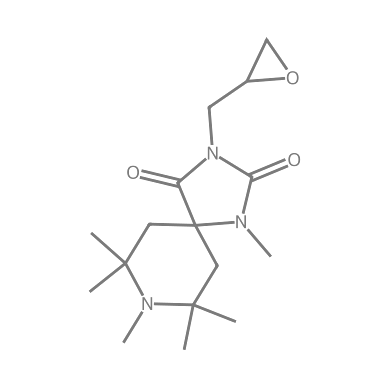 CN1C(C)(C)CC2(CC1(C)C)C(=O)N(CC1CO1)C(=O)N2C